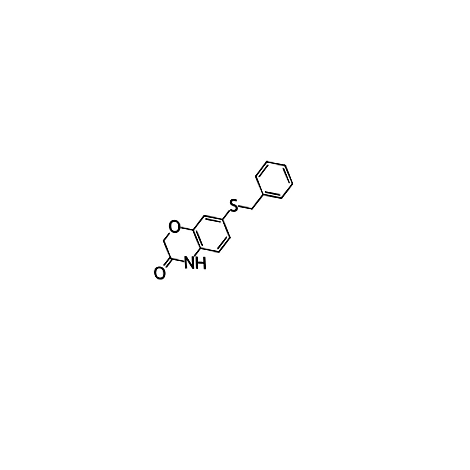 O=C1COc2cc(SCc3ccccc3)ccc2N1